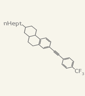 CCCCCCCC1CCC2c3ccc(C#Cc4ccc(C(F)(F)F)cc4)cc3CCC2C1